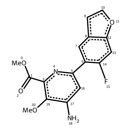 COC(=O)c1nc(-c2cc3ccoc3cc2F)cc(N)c1OC